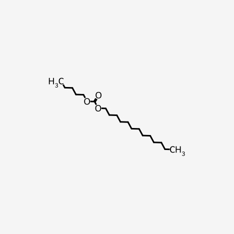 CCCCCCCCCCCCCOC(=O)OCCCCC